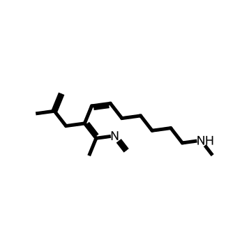 C=N/C(C)=C(\C=C/CCCCCNC)CC(=C)C